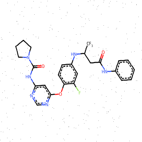 O=C(CC(Nc1ccc(Oc2cc(NC(=O)N3CCCC3)ncn2)c(F)c1)C(F)(F)F)Nc1ccccc1